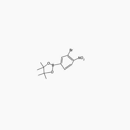 CC1(C)OB(c2ccc([N+](=O)[O-])c(Br)c2)OC1(C)C